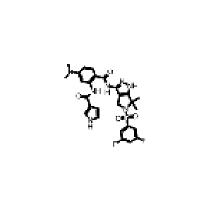 CN(C)c1ccc(C(=O)Nc2n[nH]c3c2CN(S(=O)(=O)c2cc(F)cc(F)c2)C3(C)C)c(NC(=O)c2cc[nH]c2)c1